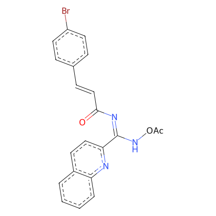 CC(=O)ON/C(=N/C(=O)C=Cc1ccc(Br)cc1)c1ccc2ccccc2n1